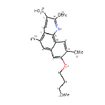 COCCCOc1cc2cc(C(C)C)c3cc(C(=O)O)c(OC)nc3c2cc1OC